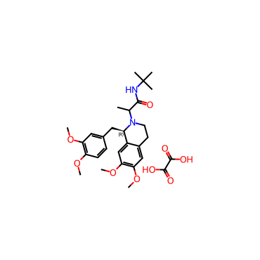 COc1ccc(C[C@@H]2c3cc(OC)c(OC)cc3CCN2C(C)C(=O)NC(C)(C)C)cc1OC.O=C(O)C(=O)O